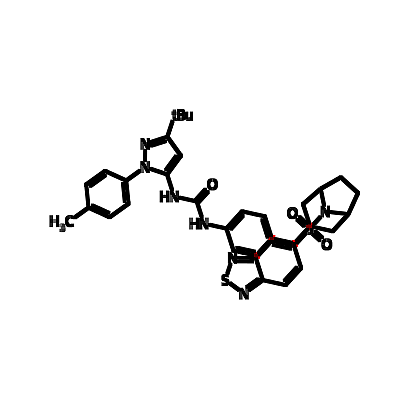 Cc1ccc(-n2nc(C(C)(C)C)cc2NC(=O)Nc2ccc(CC3CC4CCC(C3)N4S(=O)(=O)c3ccc4nsnc4c3)cc2)cc1